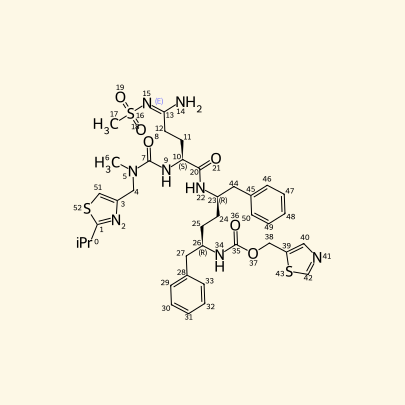 CC(C)c1nc(CN(C)C(=O)N[C@@H](CC/C(N)=N\S(C)(=O)=O)C(=O)N[C@H](CC[C@H](Cc2ccccc2)NC(=O)OCc2cncs2)Cc2ccccc2)cs1